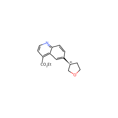 CCOC(=O)c1ccnc2ccc([C@H]3CCOC3)cc12